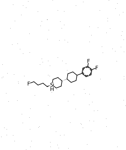 FCCCC[Si@H]1CC[C@H](C2CCC(c3ccc(F)c(F)c3)CC2)CC1